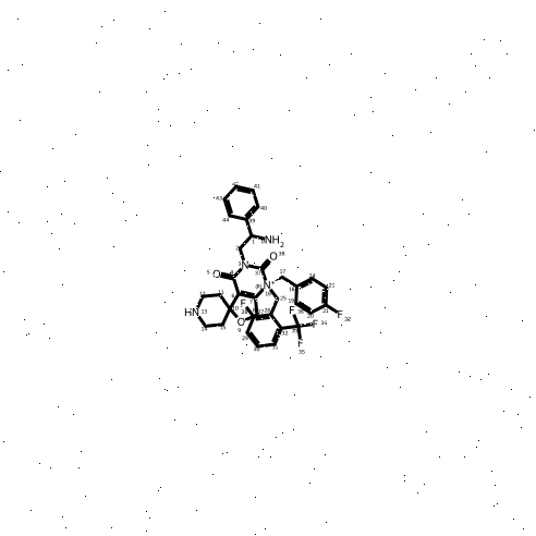 NC(CN1C(=O)C2=C(COC23CCNCC3)[N@@+](Cc2ccc(F)cc2)(Cc2c(F)cccc2C(F)(F)F)C1=O)c1ccccc1